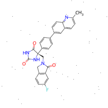 Cc1ccc2cc(-c3ccc([C@]4(CN5Cc6ccc(F)cc6C5=O)NC(=O)NC4=O)cc3)ccc2n1